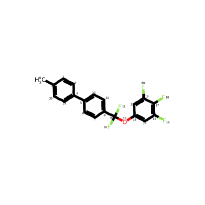 Cc1ccc(-c2ccc(C(F)(F)Oc3cc(F)c(F)c(F)c3)cc2)cc1